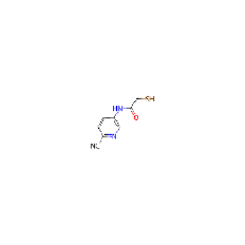 N#Cc1ccc(NC(=O)CS)cn1